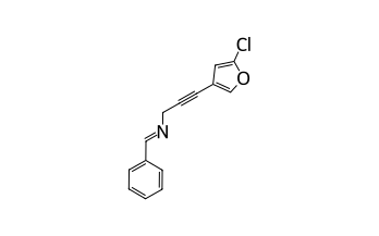 Clc1cc(C#CCN=Cc2ccccc2)co1